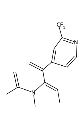 C=C(/C(=C/C)N(C)C(=C)C)c1ccnc(C(F)(F)F)c1